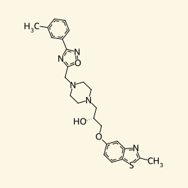 Cc1cccc(-c2noc(CN3CCN(C[C@@H](O)COc4ccc5sc(C)nc5c4)CC3)n2)c1